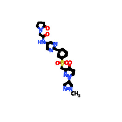 Cn1cc(-n2ccc(=O)c(CS(=O)(=O)c3cccc(-c4ncc(NC(=O)CN5CCCC5=O)cn4)c3)n2)cn1